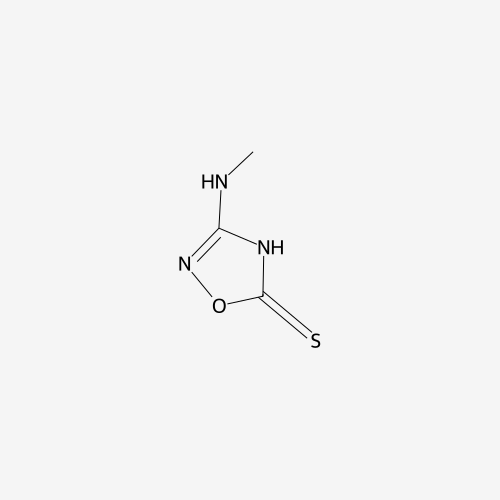 CNc1noc(=S)[nH]1